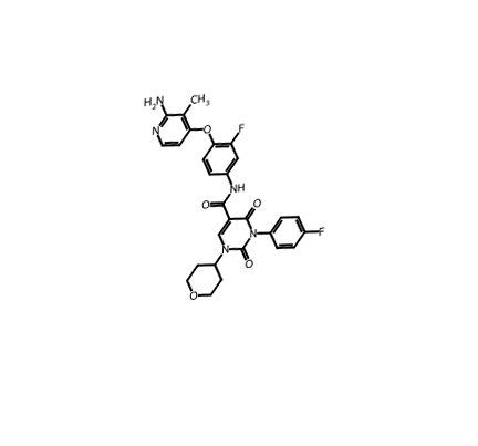 Cc1c(Oc2ccc(NC(=O)c3cn(C4CCOCC4)c(=O)n(-c4ccc(F)cc4)c3=O)cc2F)ccnc1N